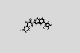 Cc1ncc(-c2ccc3cnc(NC(=O)C(C)C4CNCCO4)cc3c2)n1C